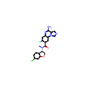 CN(C(=O)c1cc2c(cc1F)nc(N)c1cncn12)[C@@H]1COc2cc(Cl)ccc21